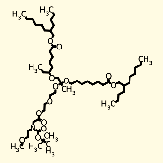 CCCCCCC(CCCC)COC(=O)CCCCCCCOC(C)(COC(CC)CCCCC(=O)OCC(CCCC)CCCCCC)OCCOCCOC(=O)CN(CCOC)C(=O)OC(C)(C)C